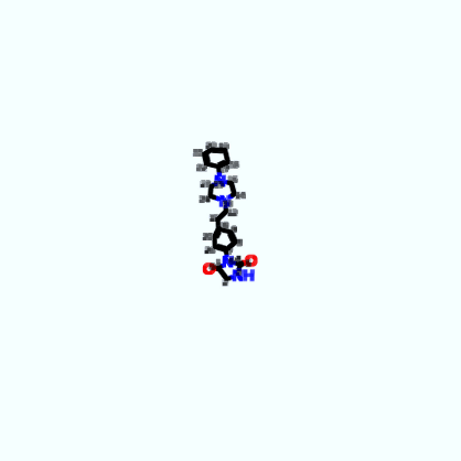 O=C1CNC(=O)N1c1ccc(CCN2CCN(c3ccccc3)CC2)cc1